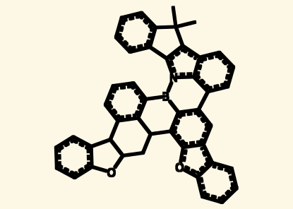 CC1(C)c2ccccc2-c2c1c1cccc3c1n2B1c2cccc4c2C(CC2Oc5ccccc5C42)c2c1c-3cc1c2oc2ccccc21